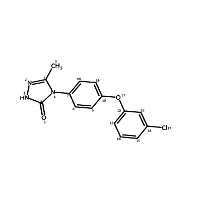 Cc1n[nH]c(=O)n1-c1ccc(Oc2cccc(Cl)c2)cc1